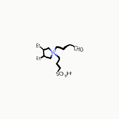 CCC1C[N+](CCCC=O)(CCCS(=O)(=O)O)CC1CC